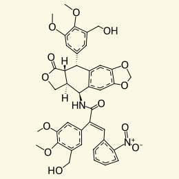 COc1cc(/C(=C\c2ccccc2[N+](=O)[O-])C(=O)N[C@@H]2c3cc4c(cc3[C@@H](c3cc(CO)c(OC)c(OC)c3)[C@H]3C(=O)OC[C@@H]32)OCO4)cc(CO)c1OC